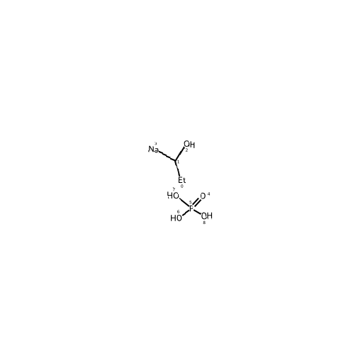 CC[CH](O)[Na].O=P(O)(O)O